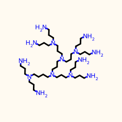 NCCCN(CCCN)CCCCN(CCCN(CCCN)CCCN)CCCN(CCCN(CCCN)CCCN)CCCN(CCCN)CCCN